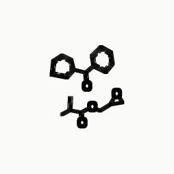 C=C(C)C(=O)OCC1CO1.O=C(c1ccccc1)c1ccccc1